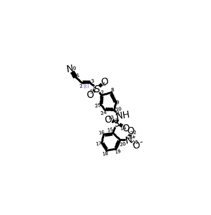 N#C/C=C/S(=O)(=O)c1ccc(NS(=O)(=O)c2ccccc2[N+](=O)[O-])cc1